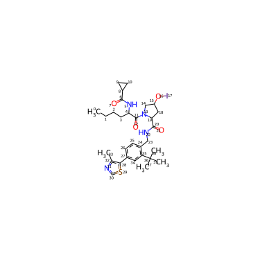 CCCCC(NC(=O)C1CC1)C(=O)N1CC(OI)CC1C(=O)NCc1ccc(-c2scnc2C)cc1C(C)(C)C